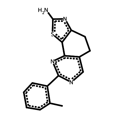 Cc1ccccc1-c1ncc2c(n1)-c1sc(N)nc1CC2